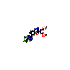 COCCN(CCOC)C(=O)N(C)Cc1ccc(-c2noc(C(F)(F)F)n2)cc1